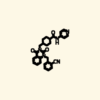 N#Cc1ccccc1Cn1c(=O)n(CC2CCC(C(=O)Nc3ccncc3)CC2)c(=O)c2ccccc21